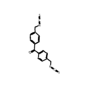 O=C(c1ccc(CN=C=S)cc1)c1ccc(CN=C=S)cc1